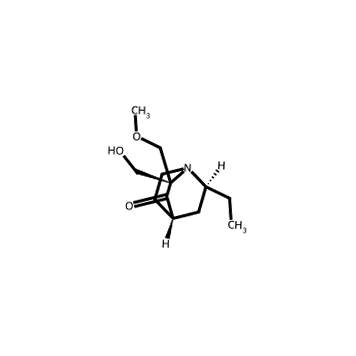 CC[C@H]1C[C@@H]2CCN1[C@@](CO)(COC)C2=O